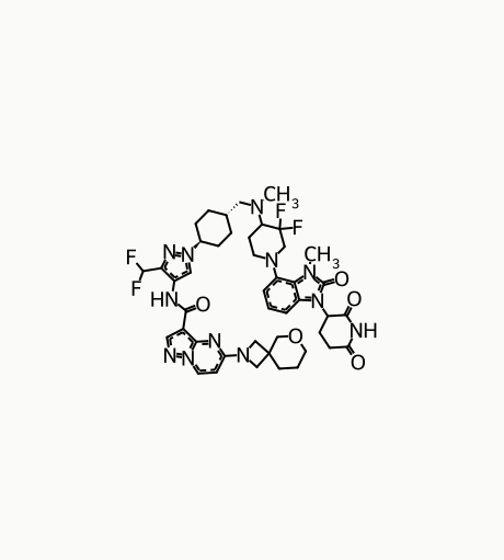 CN(C[C@H]1CC[C@H](n2cc(NC(=O)c3cnn4ccc(N5CC6(CCCOC6)C5)nc34)c(C(F)F)n2)CC1)C1CCN(c2cccc3c2n(C)c(=O)n3C2CCC(=O)NC2=O)CC1(F)F